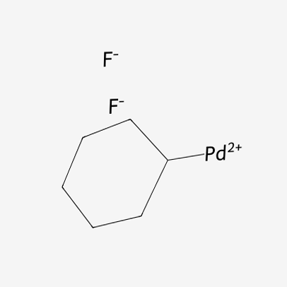 [F-].[F-].[Pd+2][CH]1CCCCC1